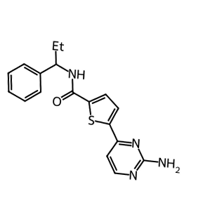 CCC(NC(=O)c1ccc(-c2ccnc(N)n2)s1)c1ccccc1